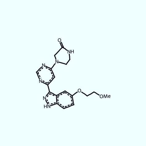 COCCOc1ccc2[nH]nc(-c3cc(N4CCNC(=O)C4)ncn3)c2c1